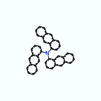 c1ccc2cc3c(N(c4cccc5cc6ccccc6cc45)c4cccc5cc6ccccc6cc45)cccc3cc2c1